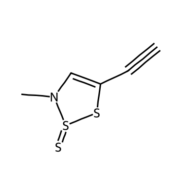 C#CC1=CN(C)S(=S)S1